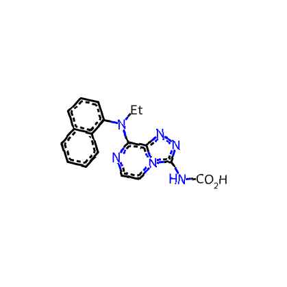 CCN(c1cccc2ccccc12)c1nccn2c(NC(=O)O)nnc12